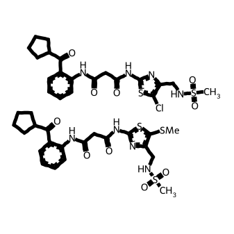 CS(=O)(=O)NCc1nc(NC(=O)CC(=O)Nc2ccccc2C(=O)C2CCCC2)sc1Cl.CSc1sc(NC(=O)CC(=O)Nc2ccccc2C(=O)C2CCCC2)nc1CNS(C)(=O)=O